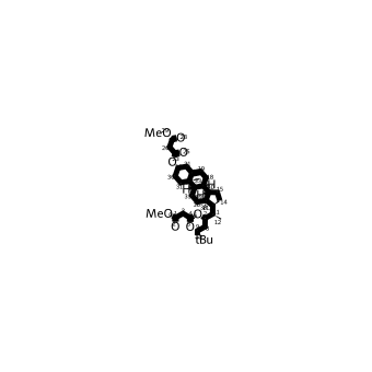 COC(=O)CC(=O)OC(CCC(C)(C)C)[C@@H](C)[C@H]1CC[C@H]2[C@@H]3CC=C4C[C@@H](OC(=O)CC(=O)OC)CC[C@]4(C)[C@H]3CC[C@]12C